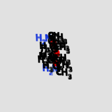 CC(N)CC(C)(C)OCC(C)C(C)(C)C(C)(C)OCCC(C)(C)C(C)(C)OCC(C)C(C)(C)N